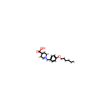 CCCCCCOc1ccc(CN2CCC(C(=O)O)CC2)cc1